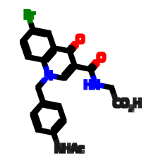 CC(=O)Nc1ccc(Cn2cc(C(=O)NCC(=O)O)c(=O)c3cc(Br)ccc32)cc1